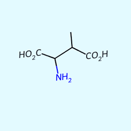 CC(C(=O)O)C(N)C(=O)O